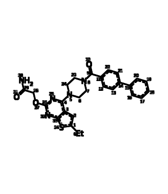 CCc1cc2c(N3CCN(C(=O)c4ccc(-c5ccccc5)cc4)CC3)nc(OCC(N)=O)nc2s1